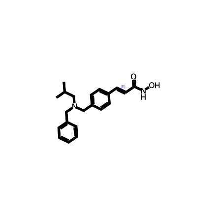 CC(C)CN(Cc1ccccc1)Cc1ccc(/C=C/C(=O)NO)cc1